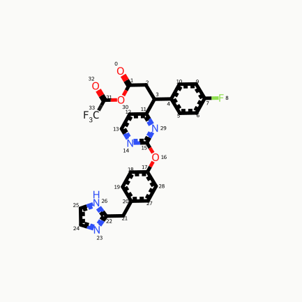 O=C(CC(c1ccc(F)cc1)c1ccnc(Oc2ccc(Cc3ncc[nH]3)cc2)n1)OC(=O)C(F)(F)F